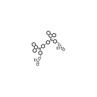 CCC1(COCc2ccc(N(c3ccc(-c4ccc(N(c5ccc(COCC6(CC)COC6)cc5)c5cc6ccccc6c6ccccc56)cc4)cc3)c3cc4ccccc4c4ccccc34)cc2)COC1